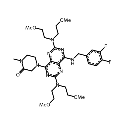 COCCN(CCOC)c1nc(N2CCN(C)C(=O)C2)c2nc(N(CCOC)CCOC)nc(NCc3ccc(F)c(F)c3)c2n1